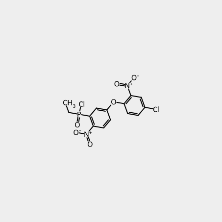 CCP(=O)(Cl)c1cc(Oc2ccc(Cl)cc2[N+](=O)[O-])ccc1[N+](=O)[O-]